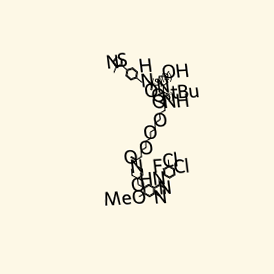 COc1cc2ncnc(Nc3ccc(Cl)c(Cl)c3F)c2cc1OC1CCN(C(=O)CCOCCOCCOCCC(=O)N[C@H](C(=O)N2C[C@H](O)C[C@H]2C(=O)NCc2ccc(-c3scnc3C)cc2)C(C)(C)C)CC1